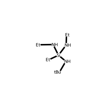 CCN[Si](CC)(NCC)NC(C)(C)C